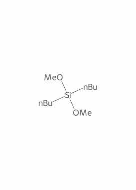 CCCC[Si](CCCC)(OC)OC